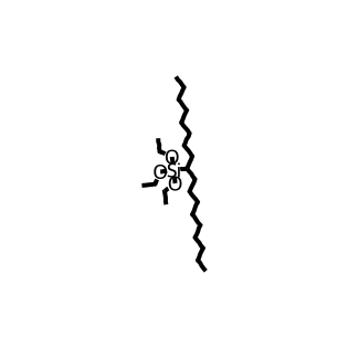 CCCCCCCCCC(CCCCCCCC)[Si](OCC)(OCC)OCC